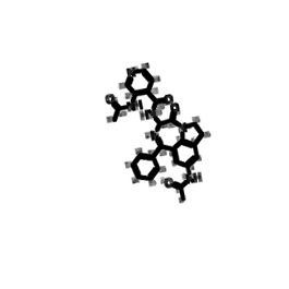 CC(=O)Nc1cc2c3c(c1)C(c1ccccc1)=NC(NC(=O)c1ccncc1NC(C)=O)C(=O)N3CC2